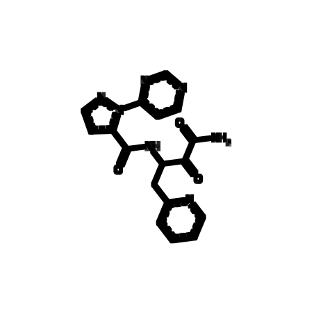 NC(=O)C(=O)C(Cc1ccccn1)NC(=O)c1ccnn1-c1ccncn1